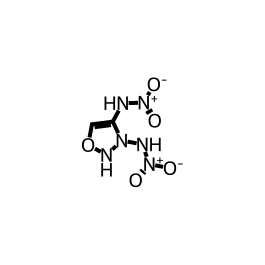 O=[N+]([O-])NC1=CONN1N[N+](=O)[O-]